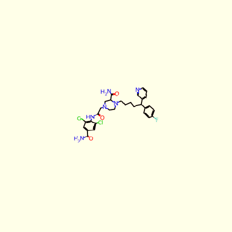 NC(=O)c1cc(Cl)c(NC(=O)CN2CCN(CCCCC(c3ccc(F)cc3)c3cccnc3)C(C(N)=O)C2)c(Cl)c1